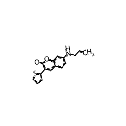 C=CCNc1ccc2cc(-c3cccs3)c(=O)oc2c1